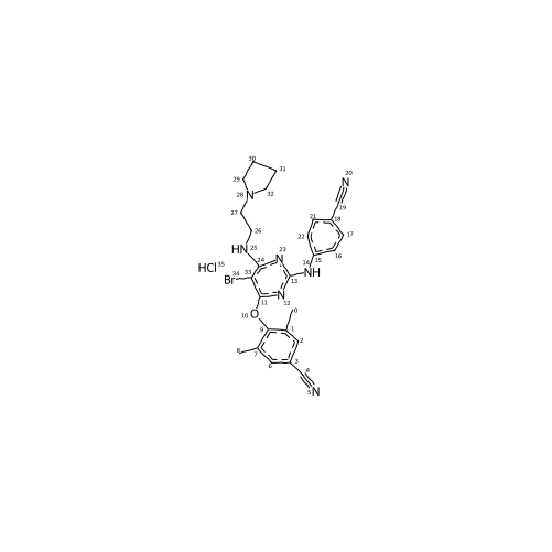 Cc1cc(C#N)cc(C)c1Oc1nc(Nc2ccc(C#N)cc2)nc(NCCN2CCCC2)c1Br.Cl